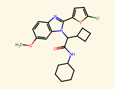 COc1ccc2nc(-c3ccc(Cl)s3)n(C(C(=O)NC3CCCCC3)C3CCC3)c2c1